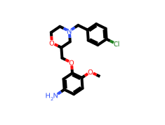 COc1ccc(N)cc1OCC1CN(Cc2ccc(Cl)cc2)CCO1